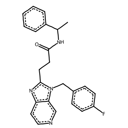 CC(NC(=O)CCc1nc2ccncc2n1Cc1ccc(F)cc1)c1ccccc1